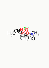 CC(C)Cc1cccc(OCCOCC[N+](C)(C)Cc2ccccc2)c1CC(C)C.O.[Cl-]